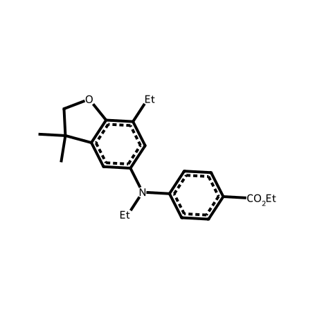 CCOC(=O)c1ccc(N(CC)c2cc(CC)c3c(c2)C(C)(C)CO3)cc1